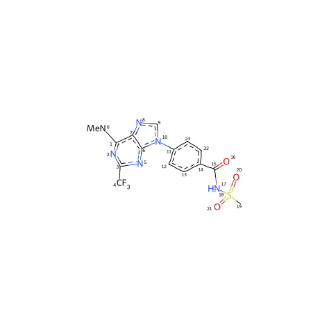 CNc1nc(C(F)(F)F)nc2c1ncn2-c1ccc(C(=O)NS(C)(=O)=O)cc1